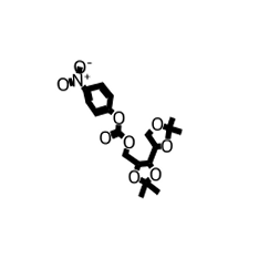 CC1(C)OCC(C2OC(C)(C)OC2COC(=O)Oc2ccc([N+](=O)[O-])cc2)O1